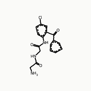 NCC(=O)NCC(=O)Nc1ccc(Cl)cc1C(=O)c1ccccc1